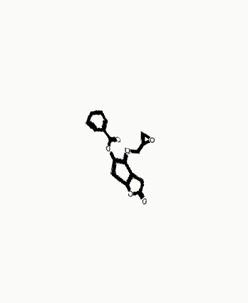 O=C1CC2C(CC(OC(=O)c3ccccc3)C2OCC2CO2)O1